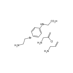 C=C(Cl)CN.C=CCN.NCCBr.O=C(O)CNc1ccccc1